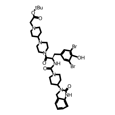 CC(C)(C)OC(=O)CN1CCC(N2CCN(C(=O)[C@@H](Cc3cc(Br)c(O)c(Br)c3)NC(=O)N3CCC(N4Cc5ccccc5NC4=O)CC3)CC2)CC1